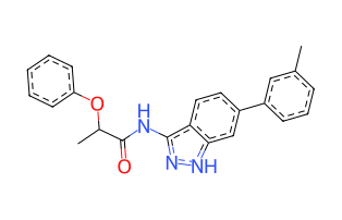 Cc1cccc(-c2ccc3c(NC(=O)C(C)Oc4ccccc4)n[nH]c3c2)c1